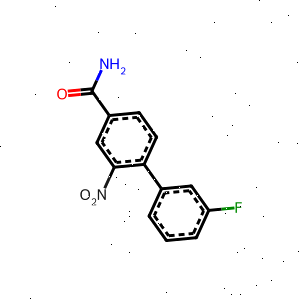 NC(=O)c1ccc(-c2cccc(F)c2)c([N+](=O)[O-])c1